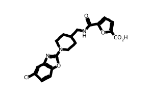 O=C(O)c1ccc(C(=O)NCC2CCN(c3nc4cc(Cl)ccc4o3)CC2)o1